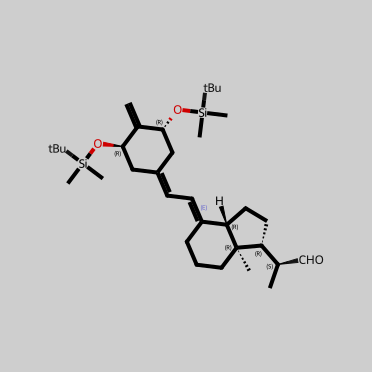 C=C1[C@H](O[Si](C)(C)C(C)(C)C)CC(=C/C=C2\CCC[C@]3(C)[C@@H]([C@H](C)C=O)CC[C@@H]23)C[C@H]1O[Si](C)(C)C(C)(C)C